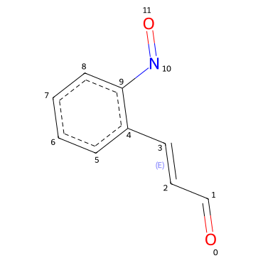 O=C/C=C/c1ccccc1N=O